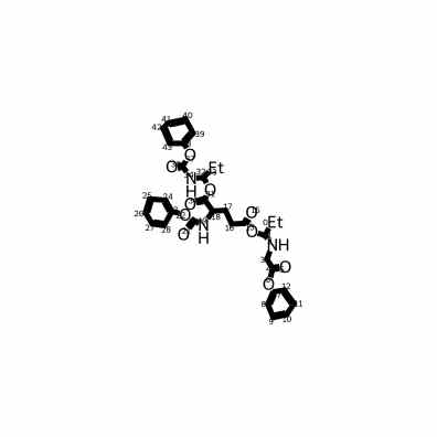 CCC(NCC(=O)Oc1ccccc1)OC(=O)CCC(NC(=O)Oc1ccccc1)C(=O)OC(CC)NC(=O)Oc1ccccc1